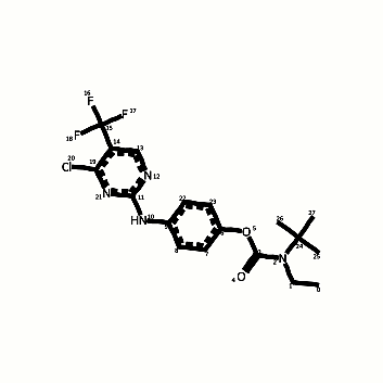 CCN(C(=O)Oc1ccc(Nc2ncc(C(F)(F)F)c(Cl)n2)cc1)C(C)(C)C